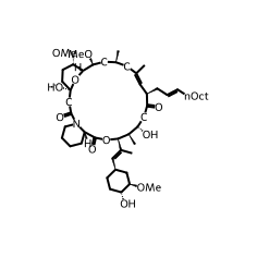 CCCCCCCC/C=C/C[C@@H]1/C=C(\C)C[C@H](C)C[C@H](OC)[C@H]2O[C@@](O)(CC(=O)N3CCCC[C@H]3C(=O)O[C@H](/C(C)=C/[C@@H]3CC[C@@H](O)[C@H](OC)C3)[C@H](C)[C@@H](O)CC1=O)[C@H](C)C[C@@H]2OC